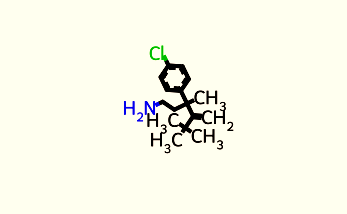 C=C(C(C)(C)C)C(C)(CCN)c1ccc(Cl)cc1